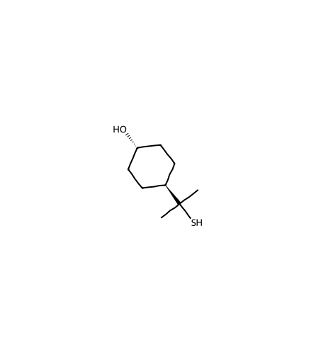 CC(C)(S)[C@H]1CC[C@H](O)CC1